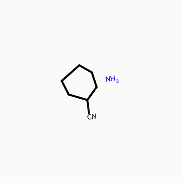 N.N#CC1CCCCC1